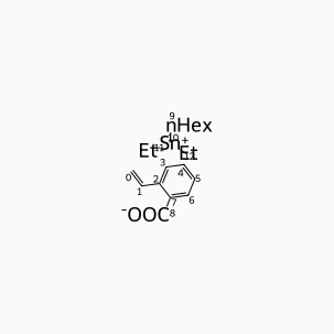 C=Cc1ccccc1C(=O)[O-].CCCCC[CH2][Sn+]([CH2]C)[CH2]C